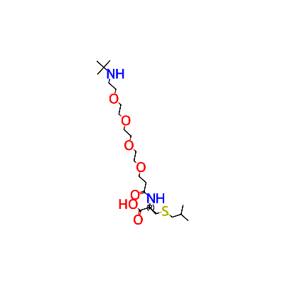 CC(C)CSC[C@H](NC(=O)CCOCCOCCOCCOCCNC(C)(C)C)C(=O)O